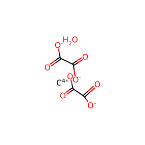 O.O=C([O-])C(=O)[O-].O=C([O-])C(=O)[O-].[C+4]